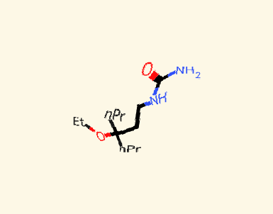 CCCC(CCC)(CCNC(N)=O)OCC